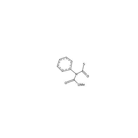 COC(=O)N(C(=O)[S])c1ccccc1